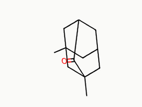 CC12CC3CC(C1)C(=O)C(C)(C3)C2